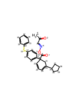 CC(=O)C=NOC(=O)C1(c2ccc(Sc3ccccc3)cc2)C=CC=C(C2CCCC2)C1